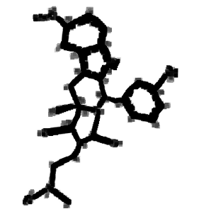 CCN(C)CCN1C(=O)N2[C@H](c3cccc(O)c3)c3[nH]c4ccc(OC)cc4c3C[C@@]2(C)C1=O